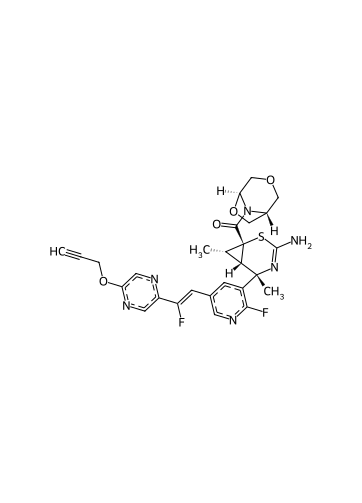 C#CCOc1cnc(/C(F)=C/c2cnc(F)c([C@@]3(C)N=C(N)S[C@]4(C(=O)N5[C@@H]6COC[C@@H]5OC6)[C@H]3[C@@H]4C)c2)cn1